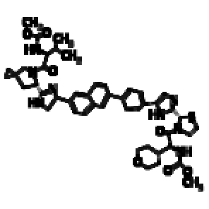 COC(=O)N[C@H](C(=O)N1CC2(CC2)C[C@H]1C1=NC(c2ccc3cc(-c4ccc(-c5cnc([C@@H]6SCCN6C(=O)[C@@H](NC(=O)OC)C6CCOCC6)[nH]5)cc4)ccc3c2)CN1)C(C)C